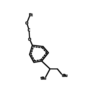 CCOCOc1ccc(C(CC(C)(C)C)C(C)(C)C)cc1